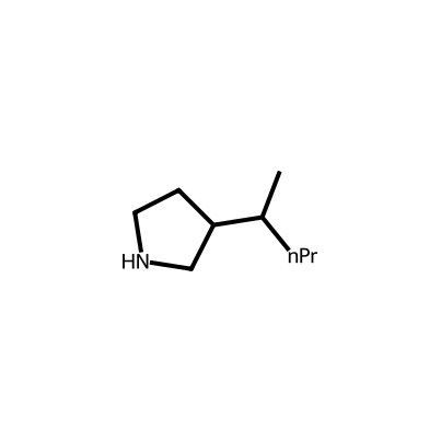 CCCC(C)C1CCNC1